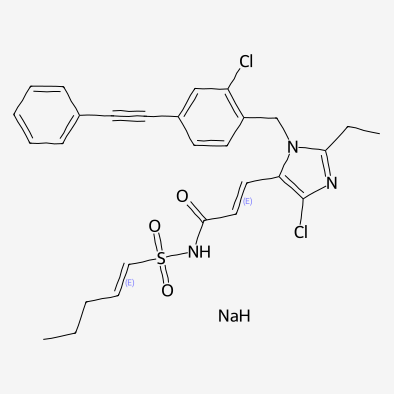 CCC/C=C/S(=O)(=O)NC(=O)/C=C/c1c(Cl)nc(CC)n1Cc1ccc(C#Cc2ccccc2)cc1Cl.[NaH]